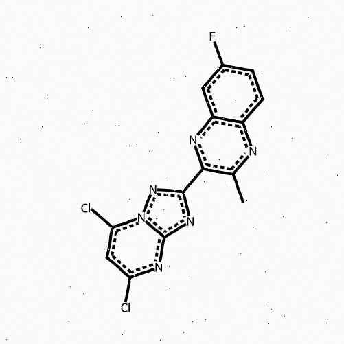 Cc1nc2ccc(F)cc2nc1-c1nc2nc(Cl)cc(Cl)n2n1